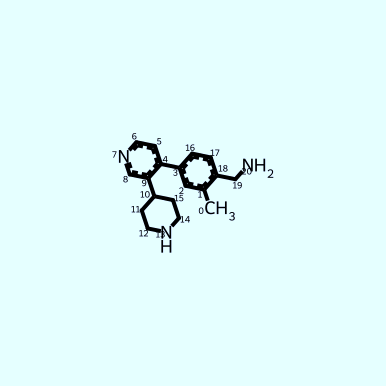 Cc1cc(-c2ccncc2C2CCNCC2)ccc1CN